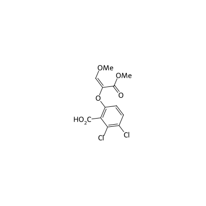 CO/C=C(/Oc1ccc(Cl)c(Cl)c1C(=O)O)C(=O)OC